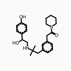 CC(C)(Cc1cccc(CC(=O)N2CCCCC2)c1)NCC(O)c1ccc(O)cc1